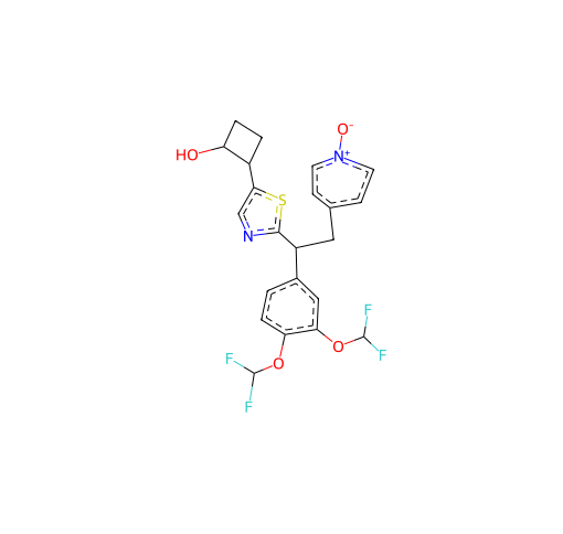 [O-][n+]1ccc(CC(c2ccc(OC(F)F)c(OC(F)F)c2)c2ncc(C3CCC3O)s2)cc1